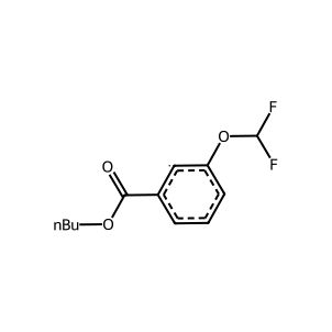 CCCCOC(=O)c1[c]c(OC(F)F)ccc1